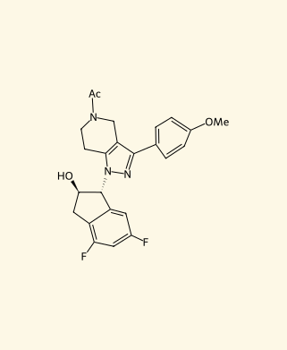 COc1ccc(-c2nn([C@@H]3c4cc(F)cc(F)c4C[C@H]3O)c3c2CN(C(C)=O)CC3)cc1